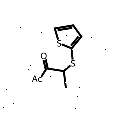 CC(=O)C(=O)C(C)Sc1cccs1